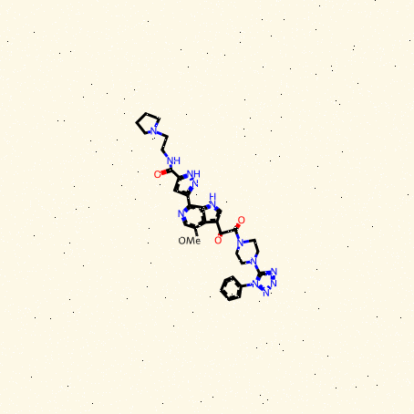 COc1cnc(-c2cc(C(=O)NCCN3CCCC3)[nH]n2)c2[nH]cc(C(=O)C(=O)N3CCN(c4nnnn4-c4ccccc4)CC3)c12